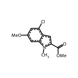 COC(=O)c1cc2c(Cl)cc(OC)cc2n1C